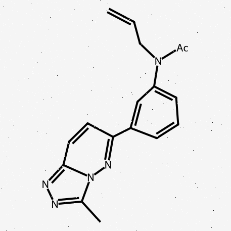 C=CCN(C(C)=O)c1cccc(-c2ccc3nnc(C)n3n2)c1